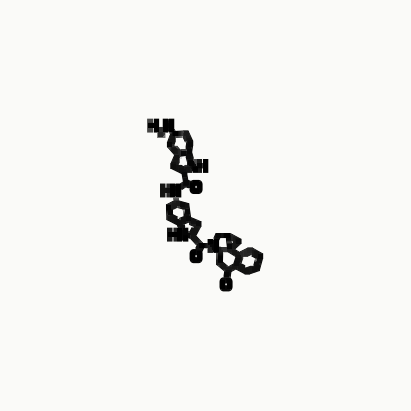 Nc1ccc2[nH]c(C(=O)Nc3ccc4[nH]c(C(=O)N5CC6CC67C5=CC(=O)c5ccccc57)cc4c3)cc2c1